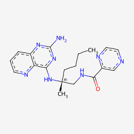 CCCC[C@](C)(CNC(=O)c1cnccn1)Nc1nc(N)nc2cccnc12